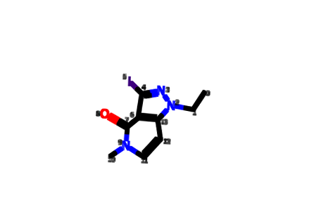 CCn1nc(I)c2c(=O)n(C)ccc21